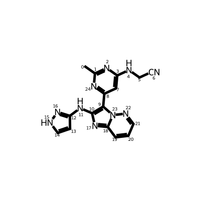 Cc1nc(NCC#N)cc(-c2c(Nc3cc[nH]n3)nc3cccnn23)n1